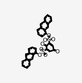 O=C1C=C(S(=O)(=O)Oc2cccc3cc4ccccc4cc23)C(=O)C(S(=O)(=O)Oc2cccc3cc4ccccc4cc23)=C1